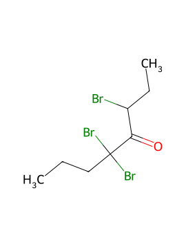 CCCC(Br)(Br)C(=O)C(Br)CC